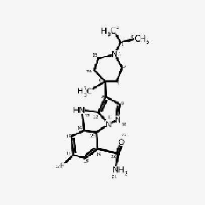 CC(C)N1CCC(C)(c2cnn3c2NC2C=C(F)C=C(C(N)=O)C23)CC1